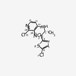 C[C@H](Cc1ccc(Cl)s1)Nc1ccnc(Cl)c1[N+](=O)[O-]